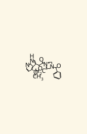 [CH2-]C1=[N+](C(=O)C(=O)c2c[nH]c3nccc(OC)c23)CCN(C(=O)c2ccccc2)C1